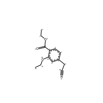 CCOC(=O)c1ccc(CC#N)cc1OCC